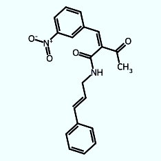 CC(=O)C(=Cc1cccc([N+](=O)[O-])c1)C(=O)NCC=Cc1ccccc1